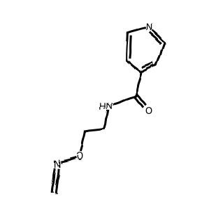 C=NOCCNC(=O)c1ccncc1